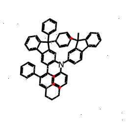 CC1(C)c2ccccc2-c2ccc(N(c3ccccc3)c3cc4c(cc3-c3cc5c(cc3-c3ccccc3)CCCC5)-c3ccccc3C4(c3ccccc3)C3C=CC=CC3)cc21